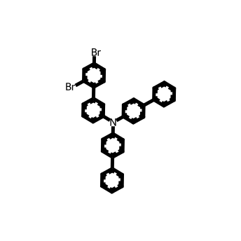 Brc1ccc(-c2cccc(N(c3ccc(-c4ccccc4)cc3)c3ccc(-c4ccccc4)cc3)c2)c(Br)c1